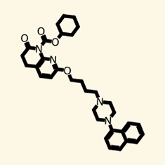 O=C1CCc2ccc(OCCCCN3CCN(c4cccc5ccccc45)CC3)nc2N1C(=O)OC1CCCCC1